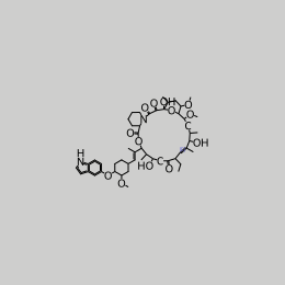 CCC1/C=C(\C)C(O)C(C)CC(OC)C2OC(O)(C(=O)C(=O)N3CCCCC3C(=O)OC(C(C)=CC3CCC(Oc4ccc5[nH]ccc5c4)C(OC)C3)C(C)C(O)CC1=O)C(C)CC2OC